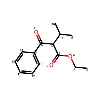 CCOC(=O)C(C(=O)c1ccccc1)C(C)C